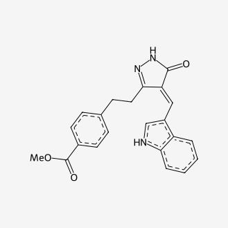 COC(=O)c1ccc(CCC2=NNC(=O)C2=Cc2c[nH]c3ccccc23)cc1